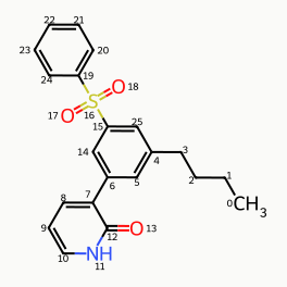 CCCCc1cc(-c2ccc[nH]c2=O)cc(S(=O)(=O)c2ccccc2)c1